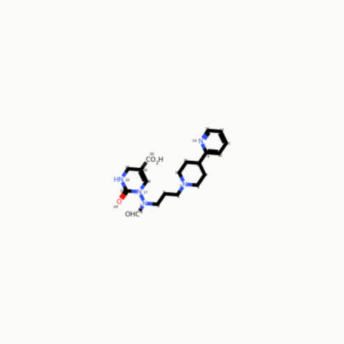 O=CN(CCCN1CCC(c2ccccn2)CC1)N1C=C(C(=O)O)CNC1=O